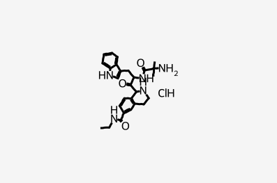 CCNC(=O)c1ccc2c(c1)CCNC2C(=O)C(Cc1c[nH]c2ccccc12)NC(=O)C(C)(C)N.Cl